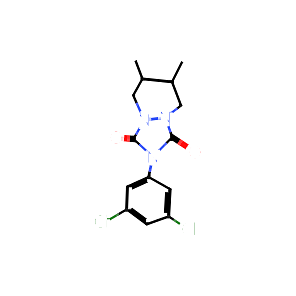 CC1Cn2c(=O)n(-c3cc(Cl)cc(Cl)c3)c(=O)n2CC1C